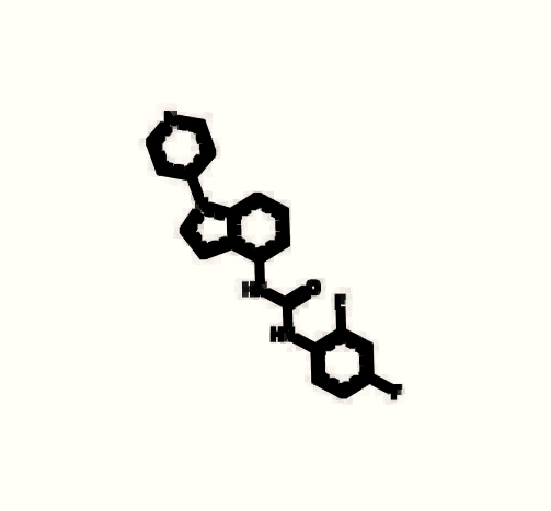 O=C(Nc1ccc(F)cc1F)Nc1cccc2c1ccn2-c1ccncc1